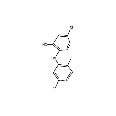 N#Cc1cc(Cl)ccc1Nc1cc(Cl)ncc1Cl